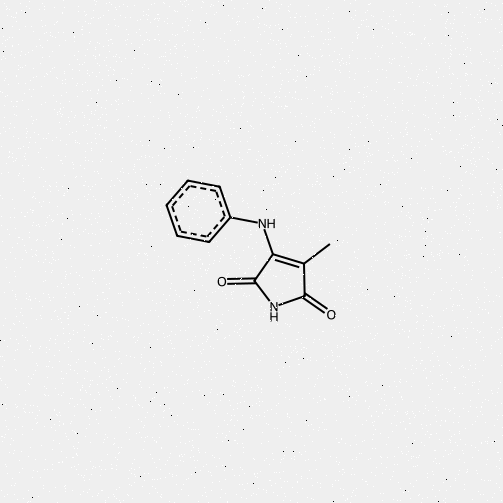 CC1=C(Nc2ccccc2)C(=O)NC1=O